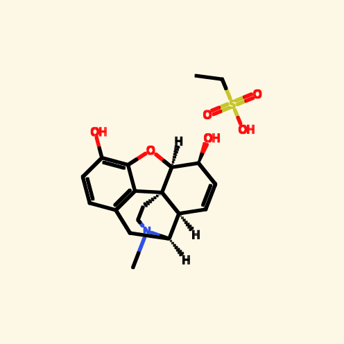 CCS(=O)(=O)O.CN1CC[C@]23c4c5ccc(O)c4O[C@H]2[C@@H](O)C=C[C@H]3[C@H]1C5